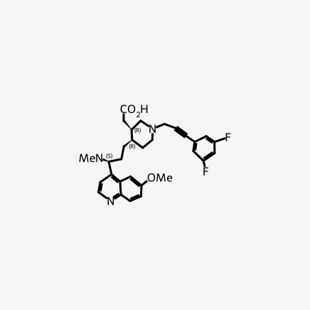 CN[C@@H](CC[C@@H]1CCN(CC#Cc2cc(F)cc(F)c2)C[C@@H]1CC(=O)O)c1ccnc2ccc(OC)cc12